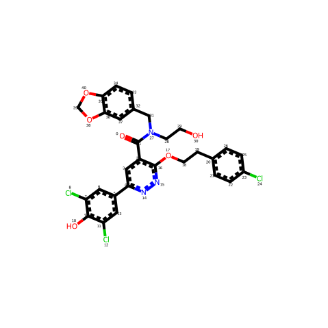 O=C(c1cc(-c2cc(Cl)c(O)c(Cl)c2)nnc1OCCc1ccc(Cl)cc1)N(CCO)Cc1ccc2c(c1)OCO2